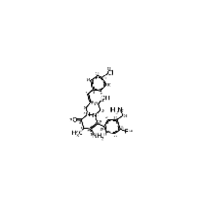 CC1C(=O)N(CC=Cc2ccc(Cl)cc2)N(CCO)C(c2ccc(F)c(CN)c2)=C1N